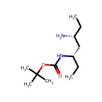 CC[C@@H](N)C[C@H](CC)NC(=O)OC(C)(C)C